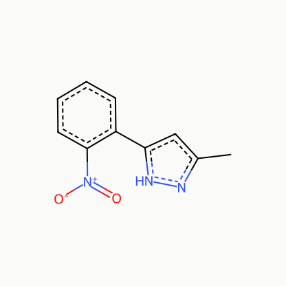 Cc1cc(-c2ccccc2[N+](=O)[O-])[nH]n1